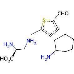 Cc1ccc(C=O)s1.NC1CCCCC1.NC[C@H](N)C(=O)O